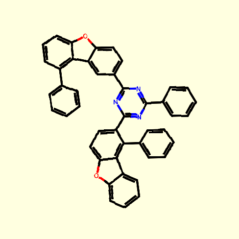 c1ccc(-c2nc(-c3ccc4oc5cccc(-c6ccccc6)c5c4c3)nc(-c3ccc4oc5ccccc5c4c3-c3ccccc3)n2)cc1